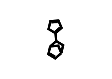 C1=CCC(C2CC3C=CC2C3)=C1